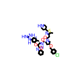 Cc1sc(C2CCNCC2)nc1CC(=O)N1C[C@H](OCc2ccc(Cl)cc2)C[C@H]1C(=O)N[C@@H](Cc1ccc(NC(=N)N)cc1)C(=O)c1nc2ccccc2o1